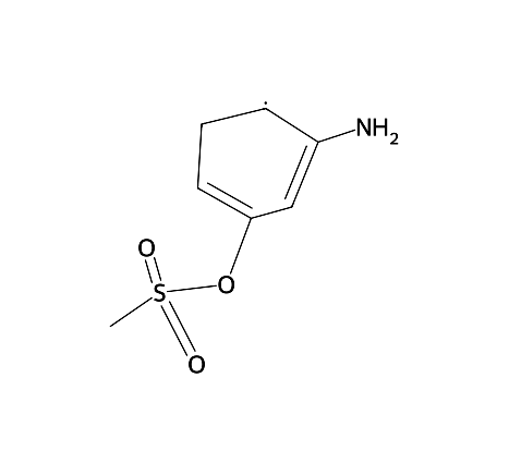 CS(=O)(=O)OC1=CC[CH]C(N)=C1